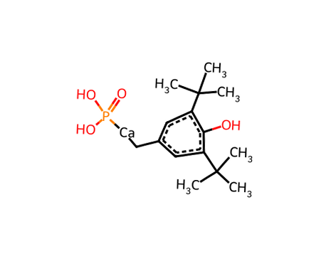 CC(C)(C)c1cc([CH2][Ca][P](=O)(O)O)cc(C(C)(C)C)c1O